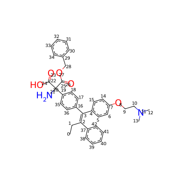 CCC(=C(c1ccc(OCCN(C)C)cc1)c1ccc(C(N)(C(=O)O)C(=O)OCc2ccccc2)cc1)c1ccccc1